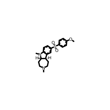 COc1ccc(S(=O)(=O)c2ccc3c(c2)[C@H]2CCN(C)CC[C@@H]2N3C)cc1